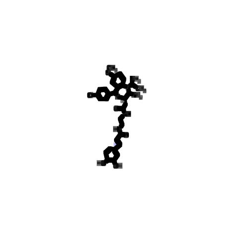 COc1ccc2c(c1)C(c1ccc(Cl)cc1)=N[C@@H](CC(=O)NCCNC(=O)/C=C/c1ccc(O)c(O)c1)C(N)N2C(C)N